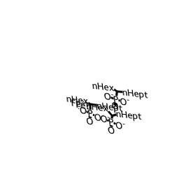 CCCCCCCC(CCCCCC)P(=O)([O-])[O-].CCCCCCCC(CCCCCC)P(=O)([O-])[O-].CCCCCCCC(CCCCCC)P(=O)([O-])[O-].[Fe+3].[Fe+3]